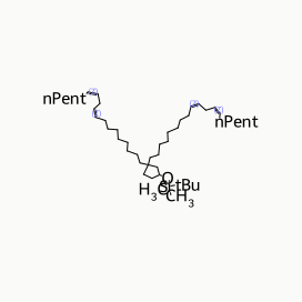 CCCCC/C=C\C/C=C\CCCCCCCCC1(CCCCCCCC/C=C\C/C=C\CCCCC)CCC(O[Si](C)(C)C(C)(C)C)C1